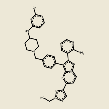 N#CCn1ncc(-c2ccc3nc(-c4cccnc4N)n(-c4ccc(CN5CCC(Nc6ccnc(C#N)n6)CC5)cc4)c3n2)n1